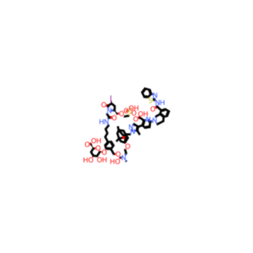 Cc1c(-c2ccc(N3CCc4cccc(C(=O)Nc5nc6ccccc6s5)c4C3)nc2C(=O)O)cnn1CC12CC3(C)CC(C)(C1)CC(OCCN(C)C(O)OCc1ccc(CCCCNC(=O)CN4C(=O)[C@@H](I)C[C@H]4COCCS(=O)(=O)O)cc1O[C@@H]1O[C@H](C(=O)O)C[C@H](O)[C@H]1O)(C3)C2